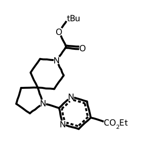 CCOC(=O)c1cnc(N2CCCC23CCN(C(=O)OC(C)(C)C)CC3)nc1